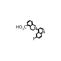 O=C(O)c1cccc2c1CCN(c1ccnc3ccc(F)cc13)C2